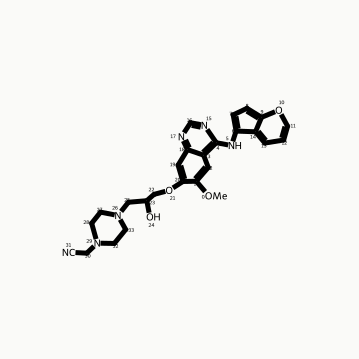 COc1cc2c(Nc3ccc4occcc3-4)ncnc2cc1OCC(O)CN1CCN(CC#N)CC1